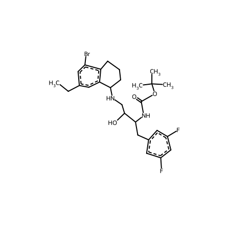 CCc1cc(Br)c2c(c1)C(NCC(O)C(Cc1cc(F)cc(F)c1)NC(=O)OC(C)(C)C)CCC2